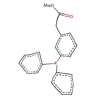 COC(=O)Cc1cccc(P(c2ccccc2)c2ccccc2)c1